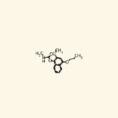 CCCOc1cc(OC)c(OC(=O)NC)c2ccccc12